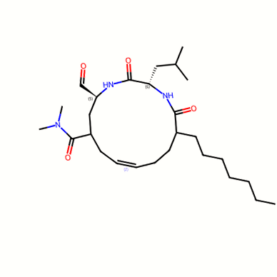 CCCCCCCC1CC/C=C\CC(C(=O)N(C)C)C[C@@H](C=O)NC(=O)[C@H](CC(C)C)NC1=O